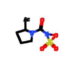 CC(=O)C1CCCN1C(=O)N1OS1(=O)=O